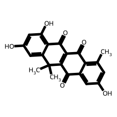 Cc1cc(O)cc2c1C(=O)C1=C(C2=O)C(C)(C)c2cc(O)cc(O)c2C1=O